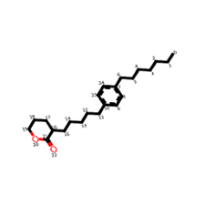 CCCCCCCc1ccc(CCCCCC2CCCOC2=O)cc1